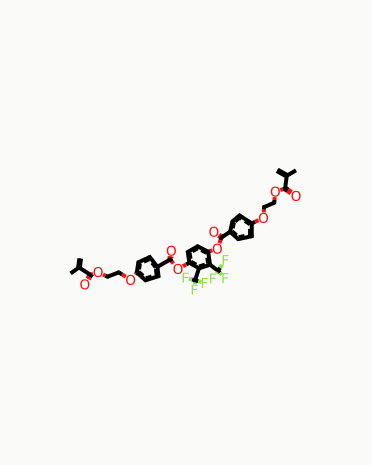 C=C(C)C(=O)OCCOc1ccc(C(=O)Oc2ccc(OC(=O)c3ccc(OCCOC(=O)C(=C)C)cc3)c(C(F)(F)F)c2C(F)(F)F)cc1